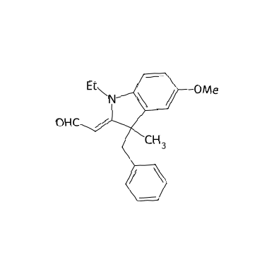 CCN1C(=CC=O)C(C)(Cc2ccccc2)c2cc(OC)ccc21